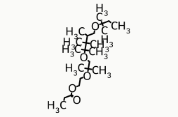 CCC(=O)OCCOC(C)(C)COC(C)(C)C(C)(C)C(C)COC(C)(C)CC